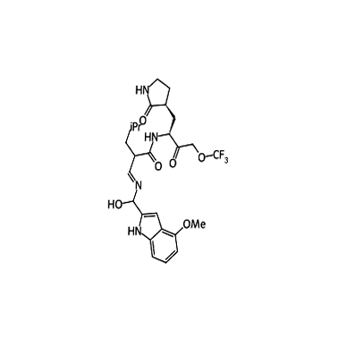 COc1cccc2[nH]c(C(O)/N=C/C(CC(C)C)C(=O)N[C@@H](C[C@@H]3CCNC3=O)C(=O)COC(F)(F)F)cc12